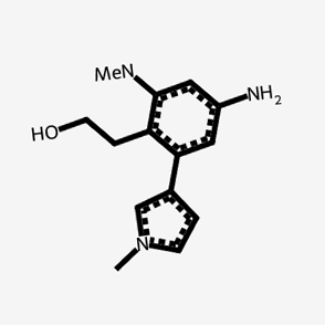 CNc1cc(N)cc(-c2ccn(C)c2)c1CCO